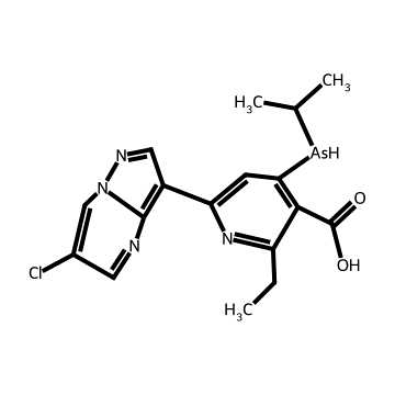 CCc1nc(-c2cnn3cc(Cl)cnc23)cc([AsH]C(C)C)c1C(=O)O